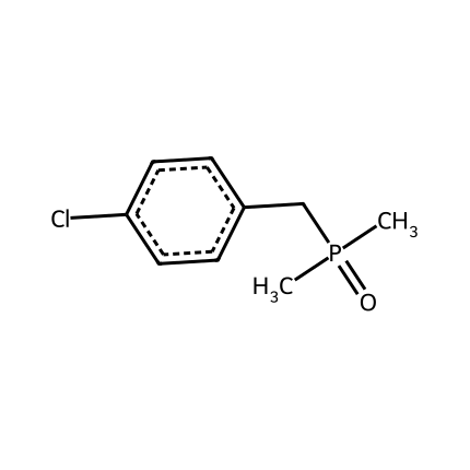 CP(C)(=O)Cc1ccc(Cl)cc1